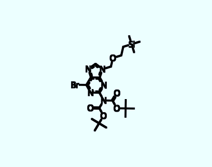 CC(C)(C)OC(=O)N(C(=O)OC(C)(C)C)c1nc(Br)c2ncn(COCC[Si](C)(C)C)c2n1